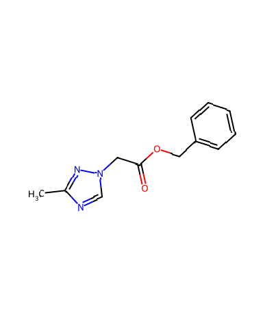 Cc1ncn(CC(=O)OCc2ccccc2)n1